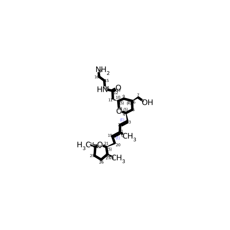 CC(/C=C/[C@@H]1C[C@H](CO)C[C@@H](CC(=O)NCCN)O1)=C\C[C@@H]1O[C@H](C)CC[C@@H]1C